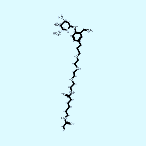 CC(=O)OCc1cc(CCCOCCOCCOCCNC(=O)CCCCCNC(=O)CI)ccc1OC1C[C@@H](O)[C@H](O)[C@@H](C(=O)O)O1